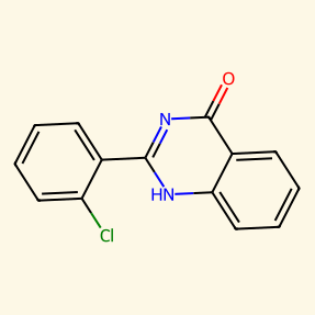 O=c1nc(-c2ccccc2Cl)[nH]c2ccccc12